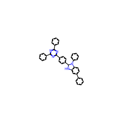 c1ccc(-c2ccc3c(c2)NC(c2ccc(-c4nc(-c5ccccc5)nc(-c5ccccc5)n4)cc2)N3c2ccccc2)cc1